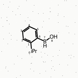 CC(C)c1ccccc1BO